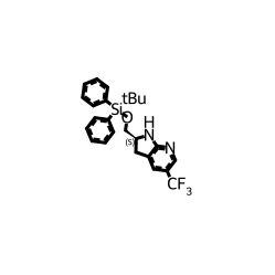 CC(C)(C)[Si](OC[C@@H]1Cc2cc(C(F)(F)F)cnc2N1)(c1ccccc1)c1ccccc1